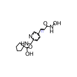 O=C(/C=C/c1ccc(CNC2(C(=O)O)CCCC2)nc1)NO